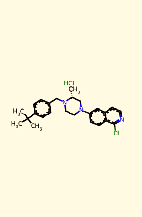 C[C@@H]1CN(c2ccc3c(Cl)nccc3c2)CCN1Cc1ccc(C(C)(C)C)cc1.Cl